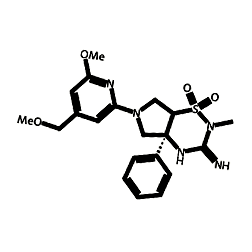 COCc1cc(OC)nc(N2CC3[C@](c4ccccc4)(C2)NC(=N)N(C)S3(=O)=O)c1